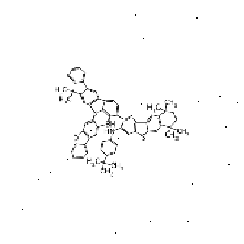 CC(C)(C)c1ccc(Nc2cc3sc4cc5c(cc4c3cc2-c2ccc3c4cc6c(cc4n4c3c2Bc2cc3c(cc2-4)oc2ccccc23)C(C)(C)c2ccccc2-6)C(C)(C)CCC5(C)C)cc1